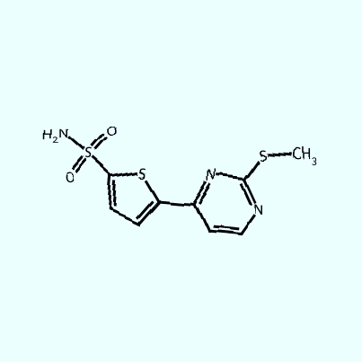 CSc1nccc(-c2ccc(S(N)(=O)=O)s2)n1